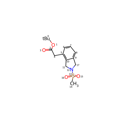 CC(C)(C)OC(=O)Cc1cccc2c1CN(S(C)(=O)=O)C2